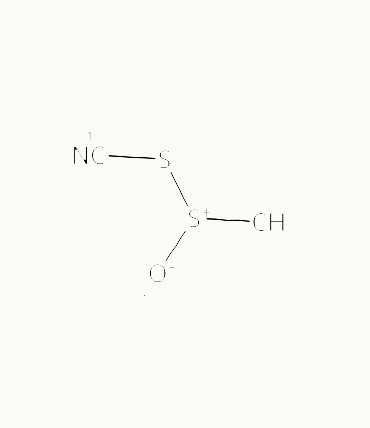 C[S+]([O-])SC#N